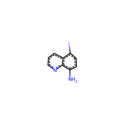 Nc1ccc(I)c2cccnc12